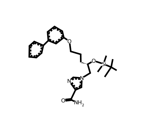 CC(C)(C)[Si](C)(C)O[C@@H](CCCOc1cccc(-c2ccccc2)c1)Cn1cnc(C(N)=O)c1